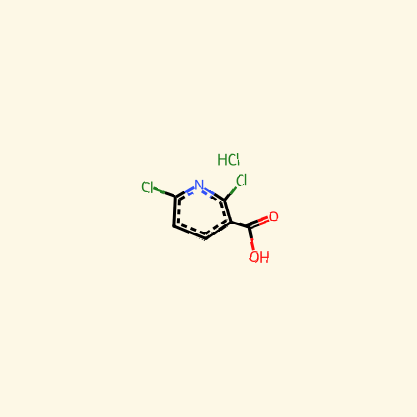 Cl.O=C(O)c1ccc(Cl)nc1Cl